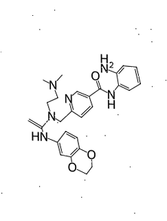 C=C(Nc1ccc2c(c1)OCCO2)N(CCN(C)C)Cc1ccc(C(=O)Nc2ccccc2N)cn1